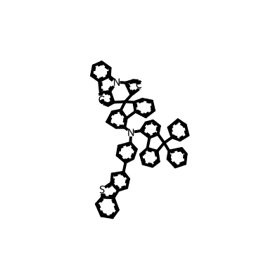 c1ccc(C2(c3ccccc3)c3ccccc3-c3c(N(c4ccc(-c5ccc6c(c5)sc5ccccc56)cc4)c4cccc5c4-c4ccccc4C54c5ccccc5-n5c6ccccc6c6cccc4c65)cccc32)cc1